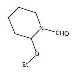 CCOC1CCCCN1C=O